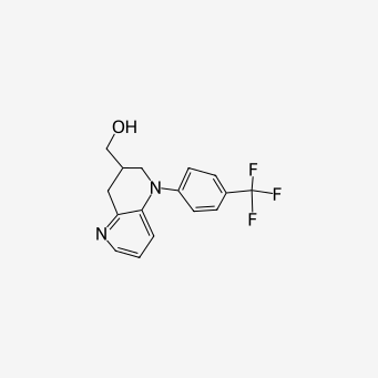 OCC1Cc2ncccc2N(c2ccc(C(F)(F)F)cc2)C1